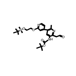 Cc1nc(CC=O)c(NC(=O)OC(C)(C)C)cc1-c1ccnc(OCCO[Si](C)(C)C(C)(C)C)c1